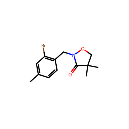 Cc1ccc(CN2OCC(C)(C)C2=O)c(Br)c1